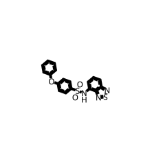 O=S(=O)(Nc1cccc2nsnc12)c1ccc(Oc2ccccc2)cc1